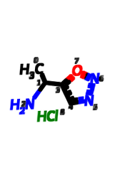 CC(N)c1cnno1.Cl